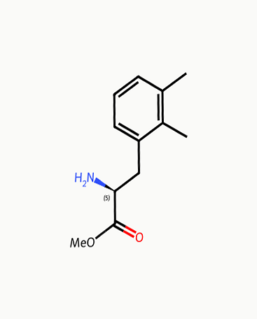 [CH2]OC(=O)[C@@H](N)Cc1cccc(C)c1C